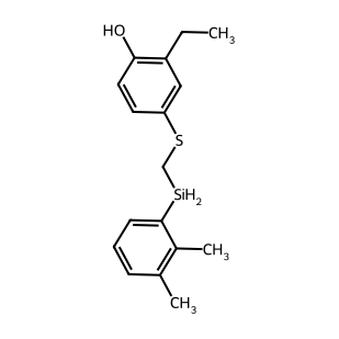 CCc1cc(SC[SiH2]c2cccc(C)c2C)ccc1O